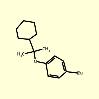 CCC(C)c1ccc(OC(C)(C)C2CCCCC2)cc1